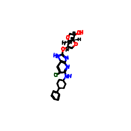 O[C@@H]1CO[C@H]2[C@@H]1OC[C@H]2Oc1nc2nc(NC3CCC(c4ccccc4)CC3)c(Cl)cc2[nH]1